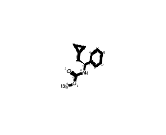 CC(C)(C)OC(=O)N[C@@H](CC1CC1)c1ccccc1